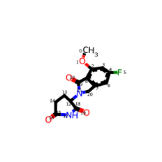 COc1cc(F)cc2c1C(=O)N(C1CCC(=O)NC1=O)C2